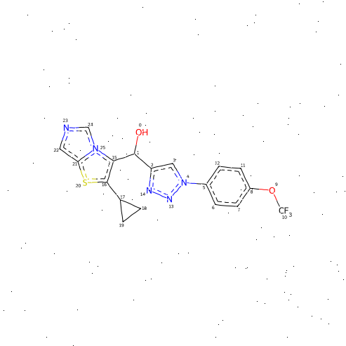 OC(c1cn(-c2ccc(OC(F)(F)F)cc2)nn1)c1c(C2CC2)sc2cncn12